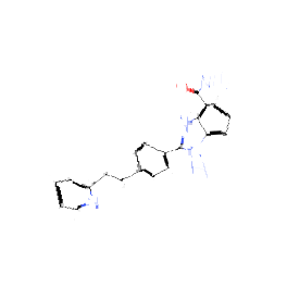 NC(=O)c1cccc2[nH]c(-c3ccc(CCc4ccccn4)cc3)nc12